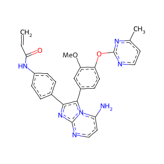 C=CC(=O)Nc1ccc(-c2nc3nccc(N)n3c2-c2ccc(Oc3nccc(C)n3)c(OC)c2)cc1